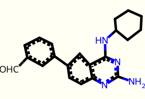 Nc1nc(NC2CCCCC2)c2cc(-c3cccc(C=O)c3)ccc2n1